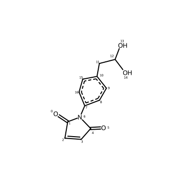 O=C1C=CC(=O)N1c1ccc(CC(O)O)cc1